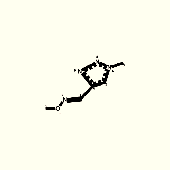 CON=Cc1cn(C)nn1